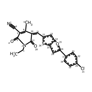 CCN1C(=O)C(C#N)=C(C)/C(=C/c2cc3oc(-c4ccc(Cl)cc4)cc3s2)C1=O